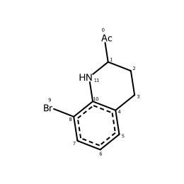 CC(=O)C1CCc2cccc(Br)c2N1